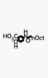 CCCCCCCCCC(=O)Nc1ccc(O)c(C(=O)O)c1